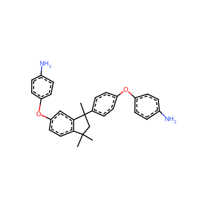 CC1(C)CC(C)(c2ccc(Oc3ccc(N)cc3)cc2)c2cc(Oc3ccc(N)cc3)ccc21